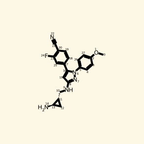 COc1ccc(-n2nc(NC[C@@H]3C[C@H]3N)cc2-c2ccc(C#N)c(F)c2)cc1